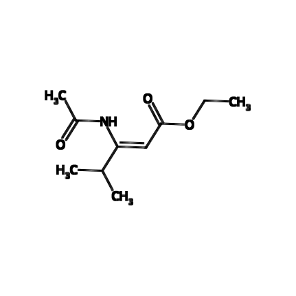 CCOC(=O)/C=C(\NC(C)=O)C(C)C